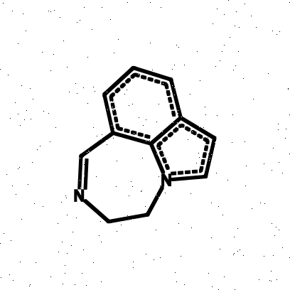 C1=NCCn2ccc3cccc1c32